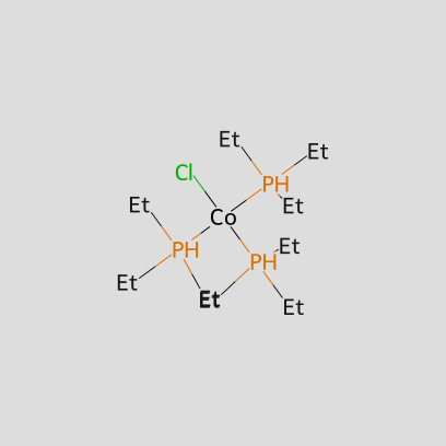 CC[PH](CC)(CC)[Co]([Cl])([PH](CC)(CC)CC)[PH](CC)(CC)CC